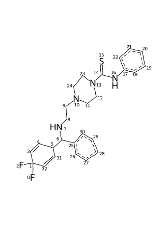 FC1(F)C=CC(C(NCCN2CCN(C(=S)Nc3ccccc3)CC2)c2ccccc2)C=C1